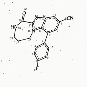 N#Cc1cc(-c2ccc(F)cc2)c2c(c1)cc1n2CCCNC1=O